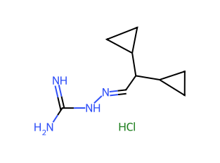 Cl.N=C(N)N/N=C/C(C1CC1)C1CC1